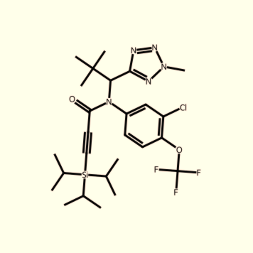 CC(C)[Si](C#CC(=O)N(c1ccc(OC(F)(F)F)c(Cl)c1)C(c1nnn(C)n1)C(C)(C)C)(C(C)C)C(C)C